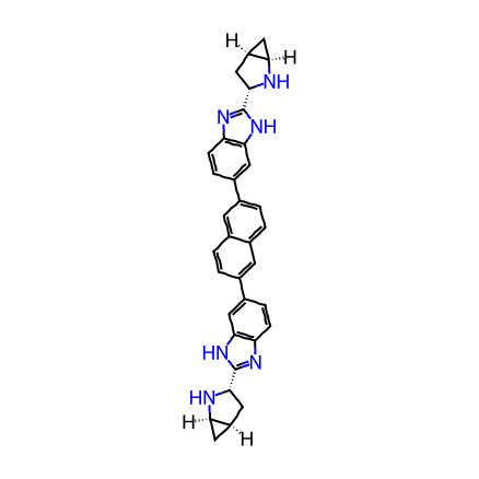 c1cc2cc(-c3ccc4nc([C@@H]5C[C@H]6C[C@H]6N5)[nH]c4c3)ccc2cc1-c1ccc2nc([C@@H]3C[C@H]4C[C@H]4N3)[nH]c2c1